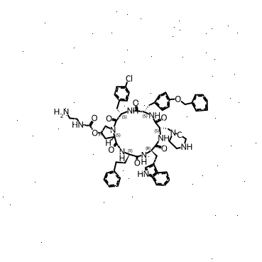 NCCNC(=O)O[C@@H]1C[C@H]2C(=O)N[C@H](CCc3ccccc3)C(=O)N[C@H](Cc3c[nH]c4ccccc34)C(=O)N[C@@H](CN3CCNCC3)C(=O)N[C@@H](Cc3ccc(OCc4ccccc4)cc3)C(=O)N[C@@H](Cc3ccc(Cl)cc3)C(=O)N2C1